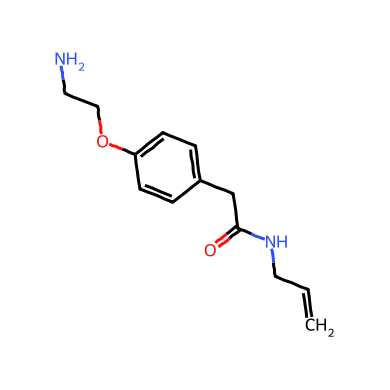 C=CCNC(=O)Cc1ccc(OCCN)cc1